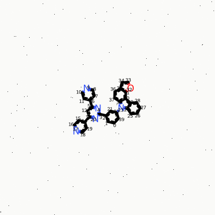 c1cc(-c2nc(-c3ccncc3)cc(-c3ccncc3)n2)cc(-n2c3ccccc3c3c4occc4ccc32)c1